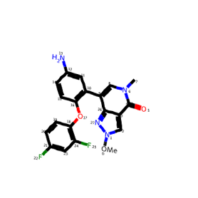 COn1cc2c(=O)n(C)cc(-c3cc(N)ccc3Oc3ccc(F)cc3F)c2n1